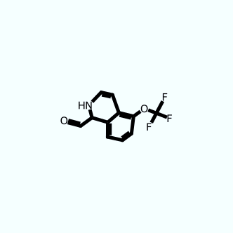 O=CC1NC=Cc2c(OC(F)(F)F)cccc21